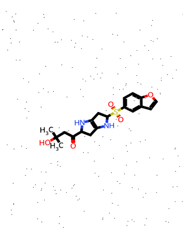 CC(C)(O)CC(=O)C1CC2=C(CC(S(=O)(=O)c3ccc4occc4c3)N2)N1